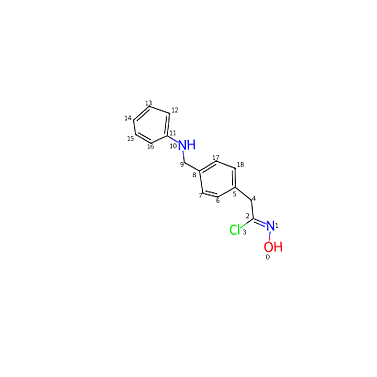 ON=C(Cl)Cc1ccc(CNc2ccccc2)cc1